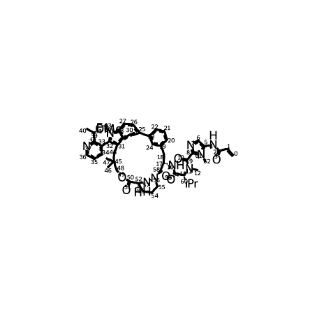 C=CC(=O)Nc1cnc(C(=O)N(C)[C@H](C(=O)N[C@H]2Cc3cccc(c3)-c3ccc4c(c3)c(c(-c3cccnc3[C@H](C)OC)n4CC)CC(C)(C)COC(=O)[C@@H]3CCCN(N3)C2=O)C(C)C)n1C